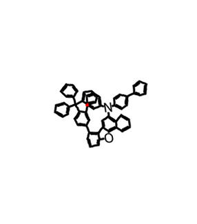 c1ccc(-c2ccc(N(c3ccccc3)c3cc4c(oc5cccc(-c6ccc7c(c6)-c6ccccc6C7(c6ccccc6)c6ccccc6)c54)c4ccccc34)cc2)cc1